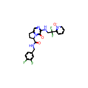 O=C(NCc1ccc(F)c(F)c1)C1CCc2cnc(NCC(F)(F)c3cccc[n+]3[O-])c(=O)n21